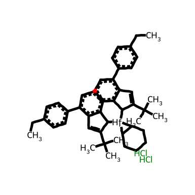 CCc1ccc(-c2cccc3c2C=C(C(C)(C)C)[CH]3[Hf]2([CH]3C(C(C)(C)C)=Cc4c(-c5ccc(CC)cc5)cccc43)[CH]3CCCC[CH]32)cc1.Cl.Cl